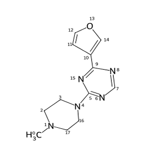 CN1CCN(c2ncnc(-c3ccoc3)n2)CC1